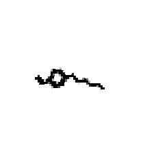 [CH2]CCCCCc1ccc(C=C)cc1